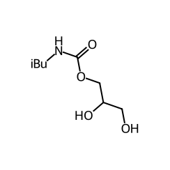 CCC(C)NC(=O)OCC(O)CO